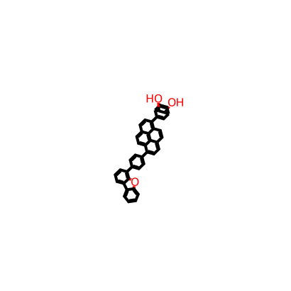 OC1C2C=CC(C(c3ccc4ccc5c(-c6ccc(-c7cccc8c7oc7ccccc78)cc6)ccc6ccc3c4c65)=C2)C1O